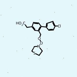 O=C(O)Cc1ccc(-c2ccc(Cl)cc2)c(COON2CCSCC2)c1